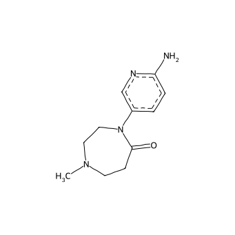 CN1CCC(=O)N(c2ccc(N)nc2)CC1